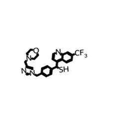 FC(F)(F)c1ccc2c(C(S)c3ccc(Cn4cnc(CN5CCOCC5)c4)cc3)ccnc2c1